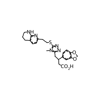 Cn1c(CC(CC(=O)O)c2ccc3c(c2)OCO3)nnc1SCCc1ccc2c(n1)NCCC2